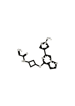 C=CC(=O)NC1CC(Oc2nc(-c3cnn(C)c3)cn3nccc23)C1